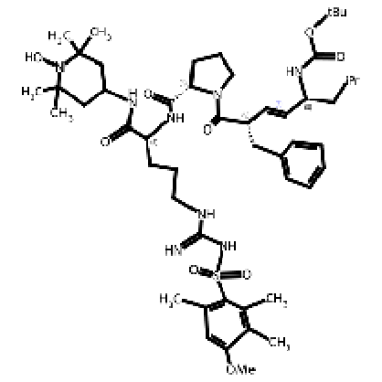 COc1cc(C)c(S(=O)(=O)NC(=N)NCCC[C@H](NC(=O)[C@@H]2CCCN2C(=O)[C@H](/C=C/[C@H](CC(C)C)NC(=O)OC(C)(C)C)Cc2ccccc2)C(=O)NC2CC(C)(C)N(O)C(C)(C)C2)c(C)c1C